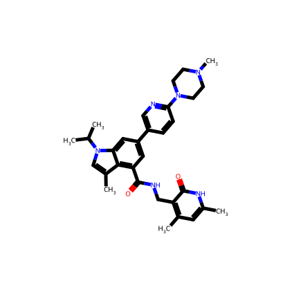 Cc1cc(C)c(CNC(=O)c2cc(-c3ccc(N4CCN(C)CC4)nc3)cc3c2c(C)cn3C(C)C)c(=O)[nH]1